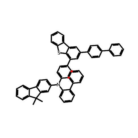 CC1(C)c2ccccc2-c2ccc(N(c3ccc(-c4cc(-c5ccc(-c6ccccc6)cc5)cc5c4sc4ccccc45)cc3)c3ccccc3-c3ccccc3)cc21